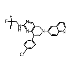 FC(F)(F)CNc1ncc2c(n1)C(c1ccc(Cl)cc1)=CN(c1ccc3ncccc3c1)C2